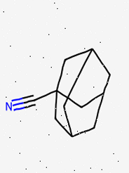 N#CC12CC3CC(CC(C3)C1)C2